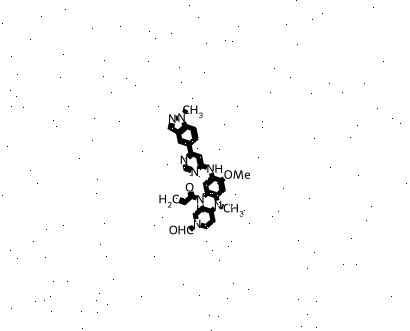 C=CC(=O)Nc1cc(Nc2cc(-c3ccc4c(cnn4C)c3)ncn2)c(OC)cc1N(C)C1CCN(C=O)CC1